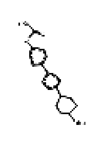 CCCCC(=O)Oc1ccc(-c2ccc(C3CCC(CCCC)CC3)cc2)cc1